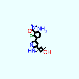 CN(C)C(=O)c1c(N)ccc(-c2cnc3c(c2)[C@]2(CN3)C[C@@](C)(O)C2)c1F